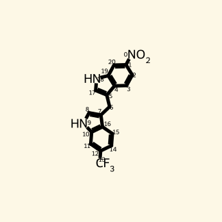 O=[N+]([O-])c1ccc2c(Cc3c[nH]c4cc(C(F)(F)F)ccc34)c[nH]c2c1